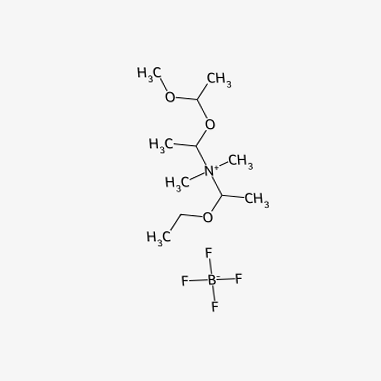 CCOC(C)[N+](C)(C)C(C)OC(C)OC.F[B-](F)(F)F